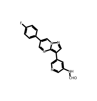 O=CNc1cncc(-c2cnn3cc(-c4ccc(F)cc4)cnc23)c1